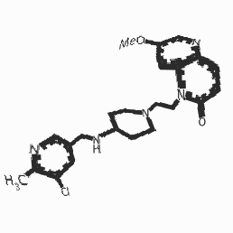 COc1cnc2ccc(=O)n(CCN3CCC(NCc4cnc(C)c(Cl)c4)CC3)c2c1